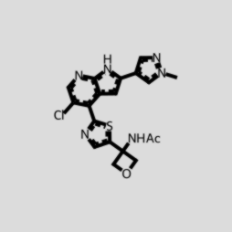 CC(=O)NC1(c2cnc(-c3c(Cl)cnc4[nH]c(-c5cnn(C)c5)cc34)s2)COC1